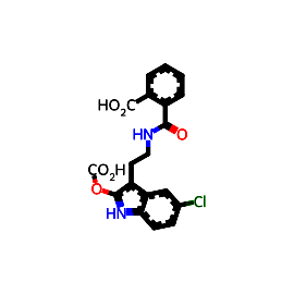 O=C(O)Oc1[nH]c2ccc(Cl)cc2c1CCNC(=O)c1ccccc1C(=O)O